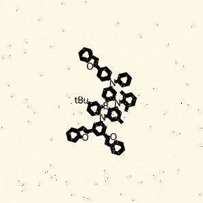 Cc1cc2c3c(c1)N(c1c(C)cccc1C)c1cc(N(c4ccccc4)c4ccc(-c5cc6ccccc6o5)cc4)ccc1B3c1cc(C(C)(C)C)ccc1N2c1cc(-c2cc3ccccc3o2)cc(-c2cc3ccccc3o2)c1